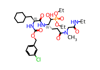 CCNC(=O)CN(C)C(=O)CC[C@H](NC(=O)[C@H](CC1CCCCC1)NC(=O)OCc1cccc(Cl)c1)C(O)P(=O)(OCC)OCC